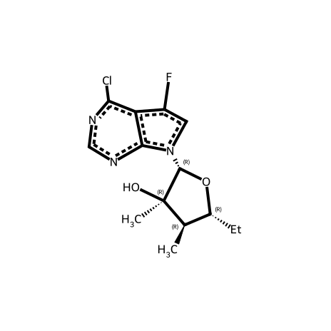 CC[C@H]1O[C@@H](n2cc(F)c3c(Cl)ncnc32)[C@](C)(O)[C@@H]1C